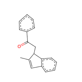 CC1=Cc2ccccc2C1CC(=O)c1ccccc1